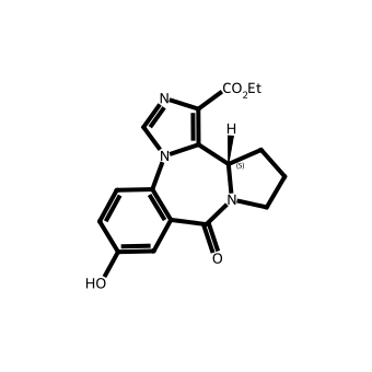 CCOC(=O)c1ncn2c1[C@@H]1CCCN1C(=O)c1cc(O)ccc1-2